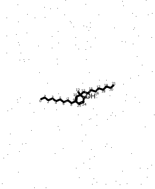 CCCCCCCCCC1=CC(C)(CCCCCCCCC)C(O)C=C1